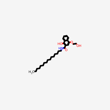 CCCCCCCCCCCCCCCCNC(=O)c1cc(OCCO)c2ccccc2c1O